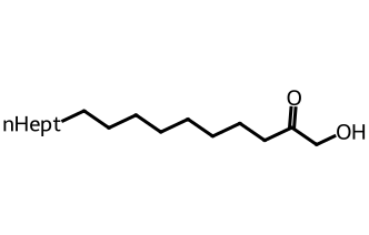 CCCCCCCCCCCCCCCC(=O)CO